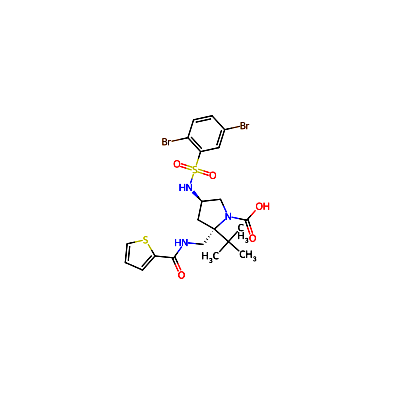 CC(C)(C)[C@@]1(CNC(=O)c2cccs2)C[C@@H](NS(=O)(=O)c2cc(Br)ccc2Br)CN1C(=O)O